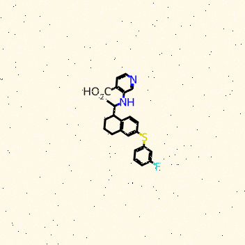 CC(Nc1cnccc1C(=O)O)C1CCCc2cc(Sc3cccc(F)c3)ccc21